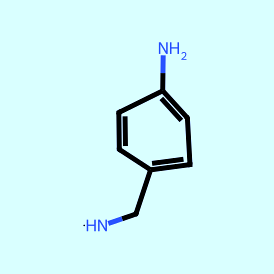 [NH]Cc1ccc(N)cc1